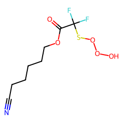 N#CCCCCCOC(=O)C(F)(F)SOOO